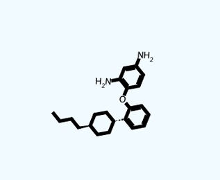 CCCC[C@H]1CC[C@H](c2ccccc2Oc2ccc(N)cc2N)CC1